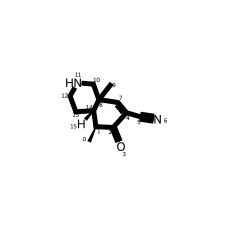 C[C@@H]1C(=O)C(C#N)=CC2(C)CNCC[C@@H]12